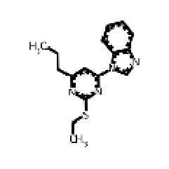 CCCc1cc(-n2cnc3ccccc32)nc(SCC)n1